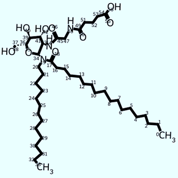 CCCCCCCCCCCCCCCCCC(=O)N(CCCCCCCCCCCCCC)[C@@H]1O[C@H](CO)[C@@H](O)[C@H](O)[C@H]1NC(=O)CNC(=O)CCCC(=O)O